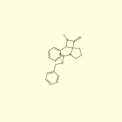 CN1C(=O)C2(CCCN2C(=O)OCc2ccccc2)C1c1ccccc1